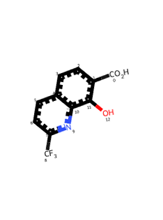 O=C(O)c1ccc2ccc(C(F)(F)F)nc2c1O